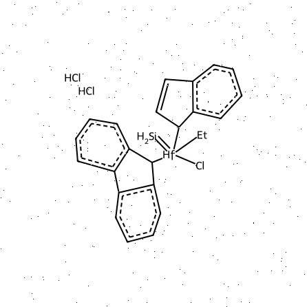 C[CH2][Hf](=[SiH2])([Cl])([CH]1C=Cc2ccccc21)[CH]1c2ccccc2-c2ccccc21.Cl.Cl